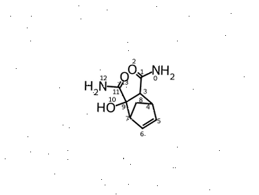 NC(=O)C1C2C=CC(C2)C1(O)C(N)=O